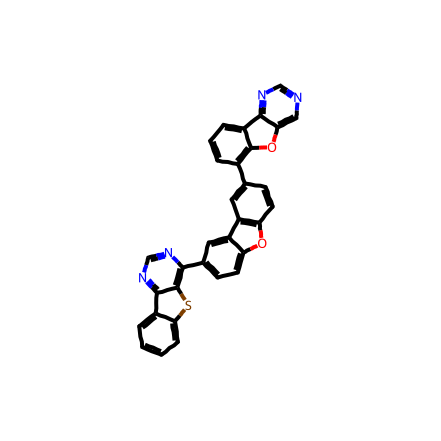 c1ccc2c(c1)sc1c(-c3ccc4oc5ccc(-c6cccc7c6oc6cncnc67)cc5c4c3)ncnc12